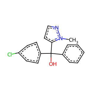 Cn1nccc1C(O)(c1ccccc1)c1ccc(Cl)cc1